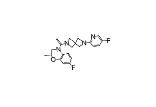 C=C(N1CC2(C1)CN(c1ccc(F)cn1)C2)N1CC(C)Oc2cc(F)ccc21